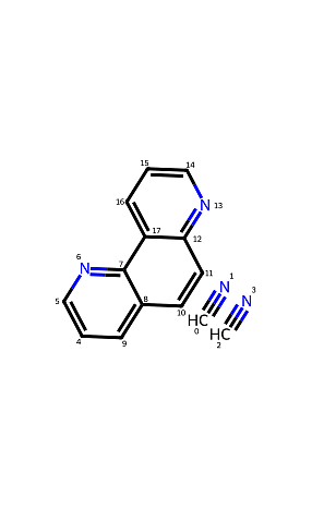 C#N.C#N.c1cnc2c(c1)ccc1ncccc12